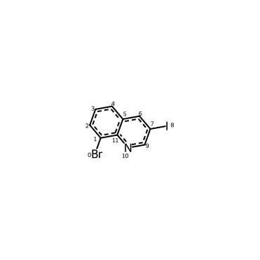 Brc1cccc2cc(I)cnc12